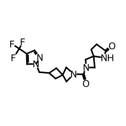 O=C1CCC2(CN(C(=O)N3CC4(CC(Cn5cc(C(F)(F)F)cn5)C4)C3)C2)N1